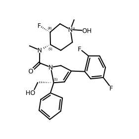 CN(C(=O)N1CC(c2cc(F)ccc2F)=C[C@@]1(CO)c1ccccc1)[C@H]1CC[N+](C)(O)C[C@H]1F